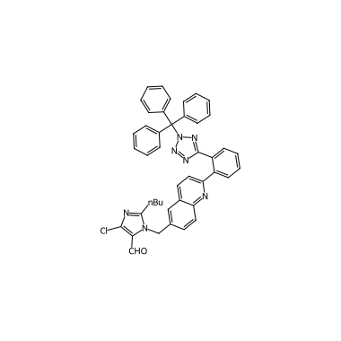 CCCCc1nc(Cl)c(C=O)n1Cc1ccc2nc(-c3ccccc3-c3nnn(C(c4ccccc4)(c4ccccc4)c4ccccc4)n3)ccc2c1